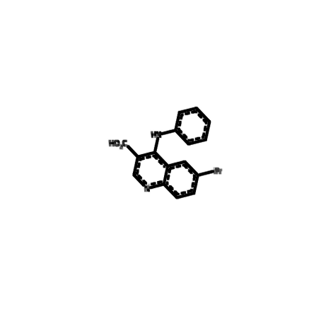 CC(C)c1ccc2ncc(C(=O)O)c(Nc3ccccc3)c2c1